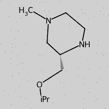 CC(C)OC[C@@H]1CN(C)CCN1